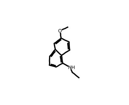 CCNc1cccc2cc(OC)ccc12